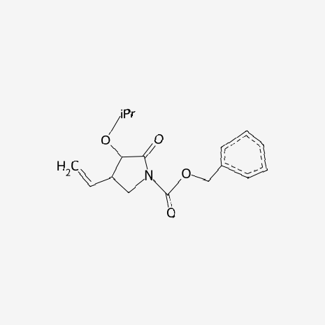 C=CC1CN(C(=O)OCc2ccccc2)C(=O)C1OC(C)C